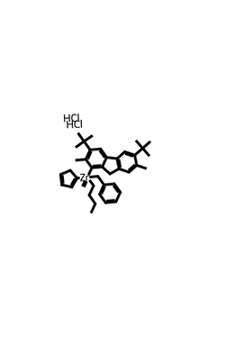 Cl.Cl.[CH2]=[Zr]([CH2]CCC)([CH2]c1ccccc1)([C]1=CC=CC1)[c]1c(C)c(C(C)(C)C)cc2c1Cc1cc(C)c(C(C)(C)C)cc1-2